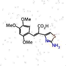 COc1cc(OC)c(OC)cc1/C=C(\C(=O)O)c1csc(N)n1